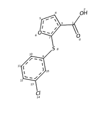 O=C(O)c1ccoc1Sc1cccc(Cl)c1